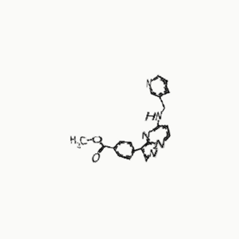 COC(=O)c1ccc(-c2cnn3ccc(NCc4cccnc4)nc23)cc1